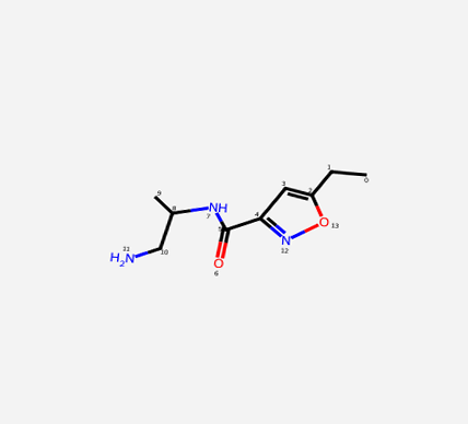 CCc1cc(C(=O)NC(C)CN)no1